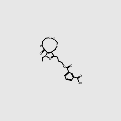 CCn1nc(CCCOC(=O)c2cccc(C(=O)O)c2)c2c1C(=O)NCCCOCCC2